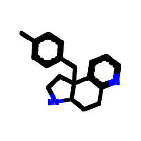 Cc1ccc(CC23CCNC2CCc2ncccc23)cc1